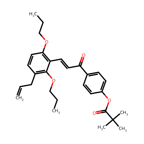 C=CCc1ccc(OCCC)c(C=CC(=O)c2ccc(OC(=O)C(C)(C)C)cc2)c1OCCC